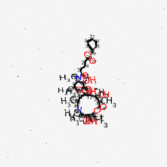 CC[C@H]1OC(=O)[C@H](C)[C@@H](O)[C@H](C)[C@@H](O[C@@H]2O[C@H](C)C[C@H](N(C)C(=O)CCCC(=O)OCc3ccccc3)[C@H]2O)[C@](C)(O)C[C@@H](C)CN(C)[C@H](C)[C@@H](O)[C@]1(C)O